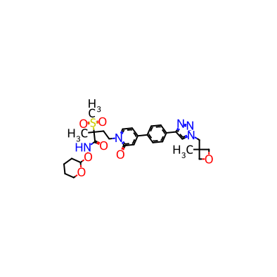 CC1(Cn2cc(-c3ccc(-c4ccn(CCC(C)(C(=O)NOC5CCCCO5)S(C)(=O)=O)c(=O)c4)cc3)nn2)COC1